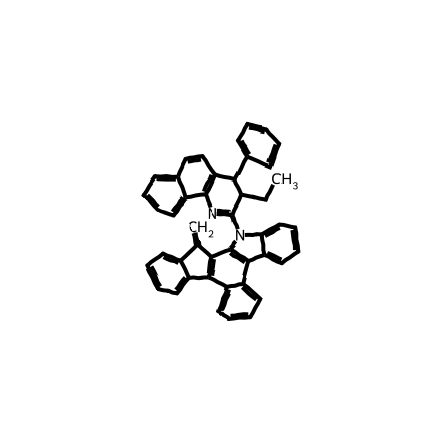 C=C1c2ccccc2-c2c1c1c(c3ccccc23)c2ccccc2n1C1=Nc2c(ccc3ccccc23)C(c2ccccc2)C1CC